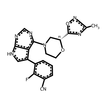 Cc1noc([C@H]2CN(c3ncnc4[nH]cc(-c5cccc(C#N)c5F)c34)CCO2)n1